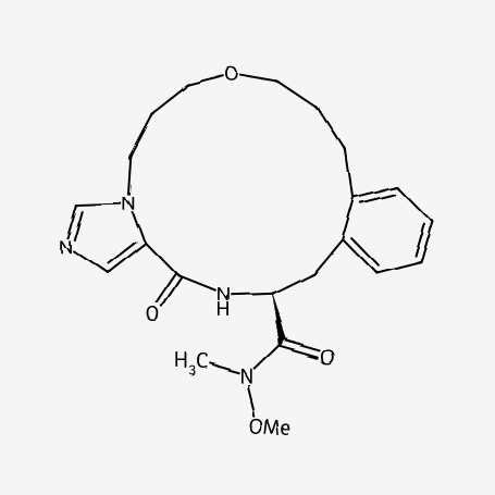 CON(C)C(=O)[C@@H]1Cc2ccccc2CCCOCCCn2cncc2C(=O)N1